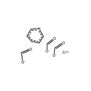 O=C[O-].O=C[O-].O=C[O-].[Cr+3].c1ccncc1